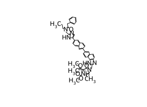 CCCN(Cc1ncc(-c2ccc3cc(-c4ccc5c(ccc6nc(CN(CCC)C(=O)[C@@H](NC(=O)OC)[C@@H](C)OC)[nH]c65)c4)ccc3c2)[nH]1)C(=O)Cc1ccccc1